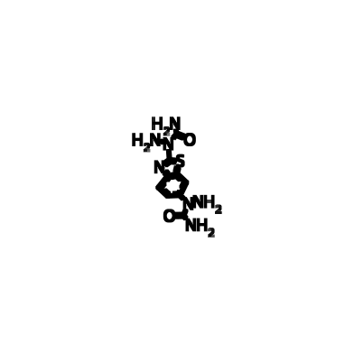 NC(=O)N(N)c1ccc2nc(N(N)C(N)=O)sc2c1